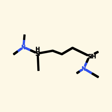 CN(C)[SiH](C)CCC[SiH](C)N(C)C